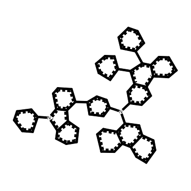 c1ccc(-c2c(-c3ccccc3)c3cc(N(c4ccc(-c5cccc6c5c5ccccc5n6-c5ccccc5)cc4)c4cc5ccccc5c5ccccc45)ccc3c3ccccc23)cc1